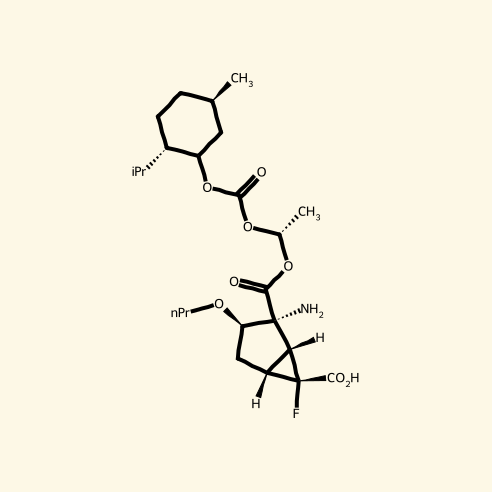 CCCO[C@@H]1C[C@@H]2[C@H]([C@]1(N)C(=O)O[C@@H](C)OC(=O)OC1C[C@H](C)CC[C@H]1C(C)C)[C@@]2(F)C(=O)O